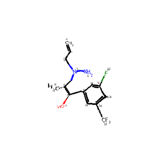 C=CCN(N)[C@@H](C)[C@H](O)c1cc(F)cc(C(F)(F)F)c1